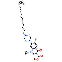 CCCCCCCCCCCCN1CCN(c2cc3c(cc2F)c(=O)c(C(=O)O)cn3C2CC2)CC1